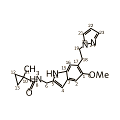 COc1cc2cc(CNC(=O)C3(C)CC3)[nH]c2cc1CCn1cccn1